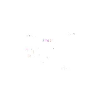 CCCCCCCCCCCCCC(=O)OCC(CO)OC(=O)CCCCCCCCCCCCC.NC(COP(=O)(O)O)C(=O)O